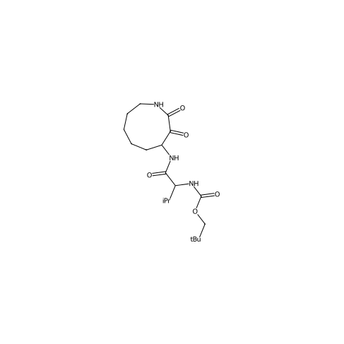 CC(C)C(NC(=O)OCC(C)(C)C)C(=O)NC1CCCCCNC(=O)C1=O